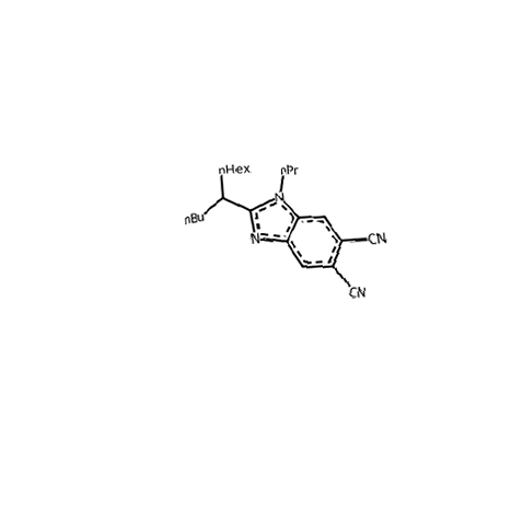 CCCCCCC(CCCC)c1nc2cc(C#N)c(C#N)cc2n1CCC